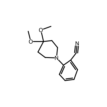 COC1(OC)CCN(c2ccccc2C#N)CC1